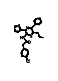 CCCc1nc(NC(=O)Cc2ccc(Cl)cc2)c(-c2cccs2)nc1-c1ccccc1